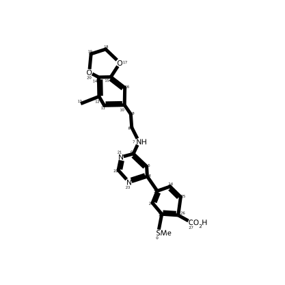 CSc1cc(-c2cc(NCCc3cc(C)c4c(c3)OCCO4)ncn2)ccc1C(=O)O